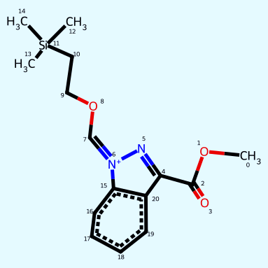 COC(=O)C1=N[N+](=COCC[Si](C)(C)C)c2ccccc21